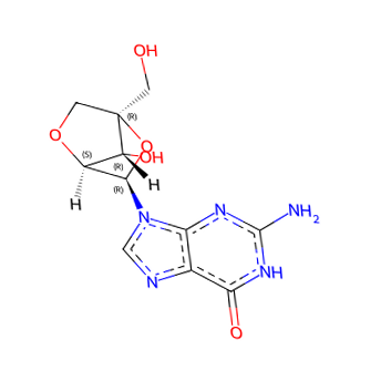 Nc1nc2c(ncn2[C@@H]2O[C@]3(CO)CO[C@H]2[C@H]3O)c(=O)[nH]1